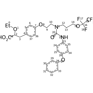 CCOC(Cc1ccc(OCCN(CCCOC(F)(F)C(F)(F)F)C(=O)Nc2ccc(Oc3ccccc3)cc2)cc1)C(=O)O